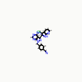 N#Cc1ccc(Cn2nc(-c3[nH]c4ncccc4c3Cl)c3c(N)ncnc32)cc1